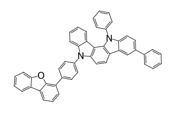 c1ccc(-c2ccc3c(c2)c2ccc4c(c5ccccc5n4-c4ccc(-c5cccc6c5oc5ccccc56)cc4)c2n3-c2ccccc2)cc1